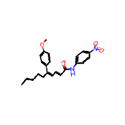 CCCCCC(=CC=CC(=O)Nc1ccc([N+](=O)[O-])cc1)c1ccc(OC)cc1